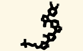 C[Si](C)(C)CCOCn1cnc(-c2ccc(-c3cnn4ccc(N5C(=O)OC[C@H]5c5ccc(F)c(F)c5)nc34)cc2F)n1